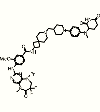 COc1cc(C(=O)NC2CC3(CCN(CC4CCN(c5ccc(N(C)C6CCC(=O)NC6=O)cc5)CC4)CC3)C2)ccc1Nc1ncc2c(n1)N(C(C)C)CC(F)(F)C(=O)N2C